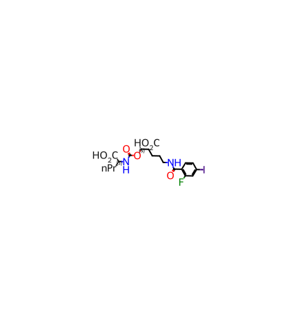 CCC[C@H](NC(=O)O[C@@H](CCCCNC(=O)c1ccc(I)cc1F)C(=O)O)C(=O)O